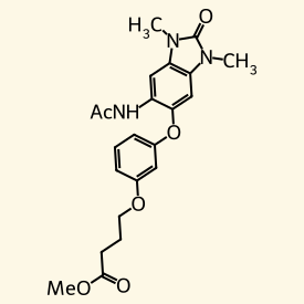 COC(=O)CCCOc1cccc(Oc2cc3c(cc2NC(C)=O)n(C)c(=O)n3C)c1